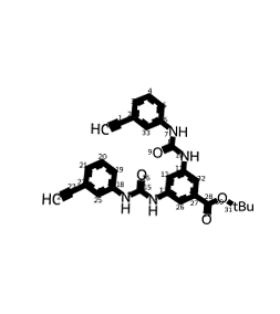 C#Cc1cccc(NC(=O)Nc2cc(NC(=O)Nc3cccc(C#C)c3)cc(C(=O)OC(C)(C)C)c2)c1